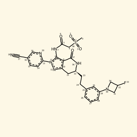 CS(=O)(=O)CC(=O)Nc1c2c(nn1-c1ccc(C#N)cn1)C[C@H](CCc1cccc(N3CC(F)C3)c1)NC2=O